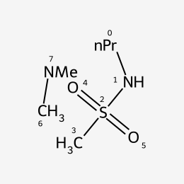 CCCNS(C)(=O)=O.CNC